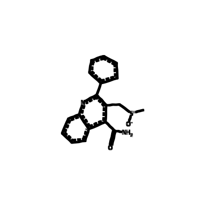 C[S+]([O-])Cc1c(-c2ccccc2)nc2ccccc2c1C(N)=O